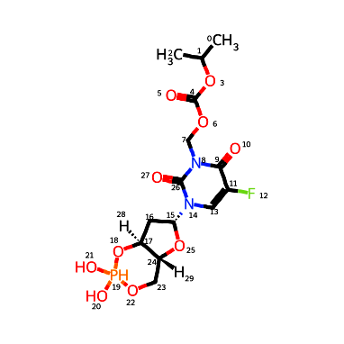 CC(C)OC(=O)OCn1c(=O)c(F)cn([C@H]2C[C@@H]3O[PH](O)(O)OC[C@H]3O2)c1=O